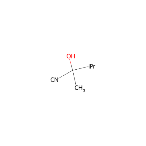 [C-]#[N+]C(C)(O)C(C)C